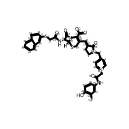 O=C(C[n+]1ccc(CN2CC/C(=C\C3=C(C(=O)[O-])N4C(=O)[C@@H](NC(=O)CSc5ccc6ccccc6c5)[C@H]4SC3)C2=O)cc1)Nc1ccc(O)c(F)c1